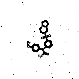 CC(C)Oc1ccc(N(C(=O)C(F)(F)F)c2cccc(S(=O)(=O)N3CCN4CCCC4C3)c2)cc1